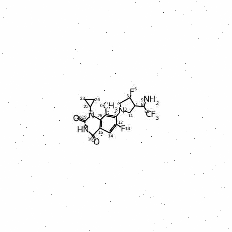 Cc1c(N2CC(F)C(C(N)C(F)(F)F)C2)c(F)cc2c(=O)[nH]c(=O)n(C3CC3)c12